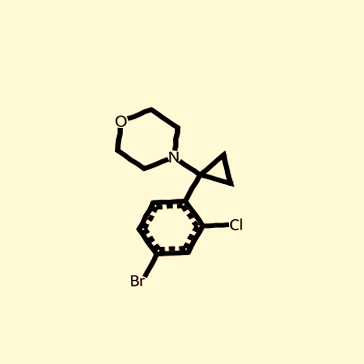 Clc1cc(Br)ccc1C1(N2CCOCC2)CC1